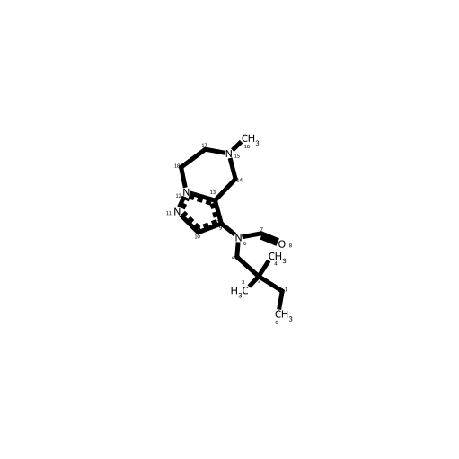 CCC(C)(C)CN(C=O)c1cnn2c1CN(C)CC2